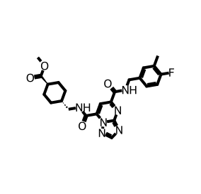 COC(=O)[C@H]1CC[C@H](CNC(=O)c2cc(C(=O)NCc3ccc(F)c(C)c3)nc3ncnn23)CC1